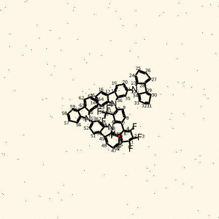 Fc1c(F)c(F)c(-c2ccc(-n3c4ccccc4c4ccc(-n5c6ccccc6c6ccccc65)cc43)c(C(F)(F)F)c2-n2c3ccccc3c3ccc(-n4c5ccccc5c5ccccc54)cc32)c(F)c1F